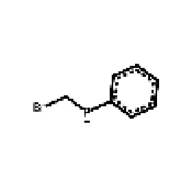 BrCPc1ccccc1